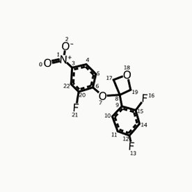 O=[N+]([O-])c1ccc(OC2(c3ccc(F)cc3F)COC2)c(F)c1